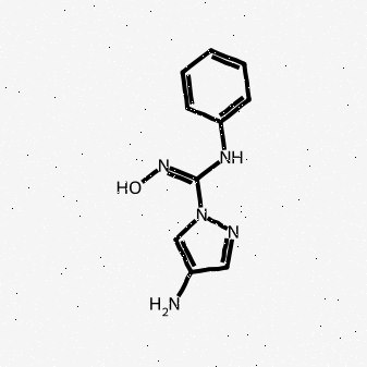 Nc1cnn(C(=NO)Nc2ccccc2)c1